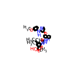 COc1cccc(Nc2cc(Oc3ccc(NC(=O)Nc4cc(C(C)(C)C)cc(C(=O)O)c4OC)c4ccccc34)ccn2)c1